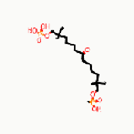 CC(C)(CCCCC(=O)CCCCC(C)(C)COP(=O)(O)O)COP(C)(=O)O